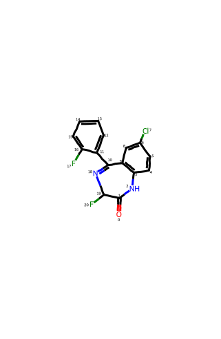 O=C1Nc2ccc(Cl)cc2C(c2ccccc2F)=NC1F